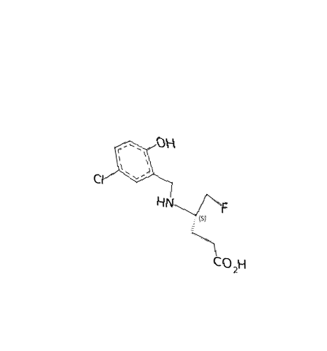 O=C(O)CC[C@@H](CF)NCc1cc(Cl)ccc1O